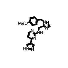 COc1ccc(Cn2ncnc2CNc2nccc(-c3cn[nH]c3)n2)cc1